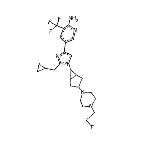 Nc1ncc(-c2cn(C3C4CC(N5CCN(CCF)CC5)CC43)c(CC3CC3)n2)cc1C(F)(F)F